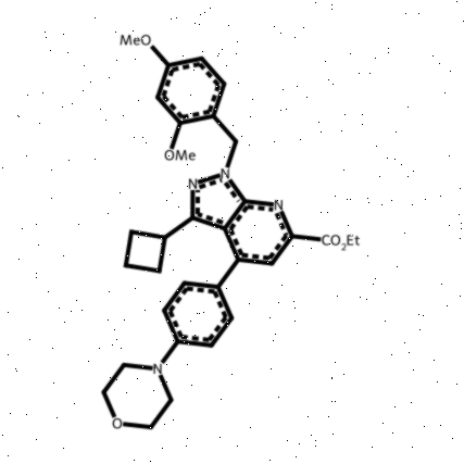 CCOC(=O)c1cc(-c2ccc(N3CCOCC3)cc2)c2c(C3CCC3)nn(Cc3ccc(OC)cc3OC)c2n1